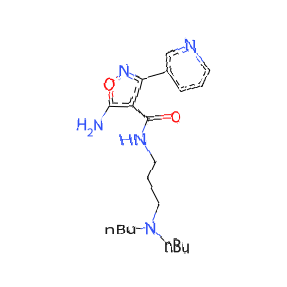 CCCCN(CCCC)CCCNC(=O)c1c(-c2cccnc2)noc1N